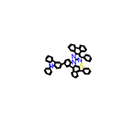 c1ccc(-c2nc(-n3c4ccc(-c5ccc6c(c5)c5ccccc5n6-c5ccccc5)cc4c4c5ccccc5c5c6ccccc6sc5c43)nc3c4ccccc4c4ccccc4c23)cc1